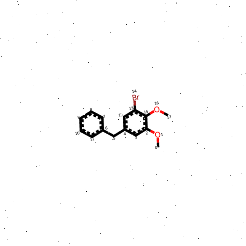 COc1cc(Cc2ccccc2)cc(Br)c1OC